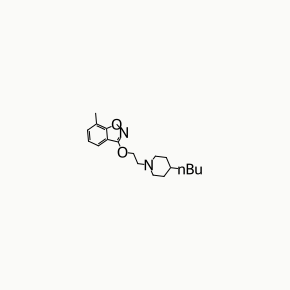 CCCCC1CCN(CCOc2noc3c(C)cccc23)CC1